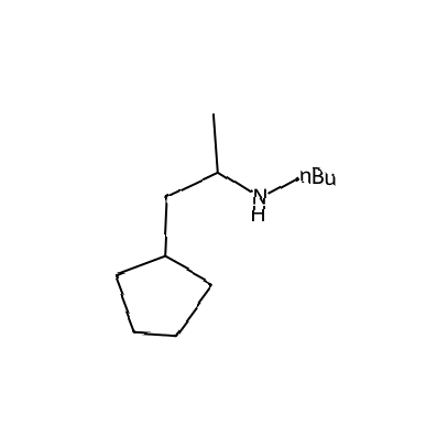 CCCCNC(C)CC1CCCC1